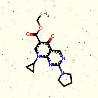 CCOC(=O)c1cn(C2CC2)c2nc(N3CCCC3)ncc2c1=O